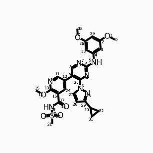 COc1cc(Nc2ncc(-c3cnc(OC)c(C(=O)NS(C)(=O)=O)c3)c(-n3ccc(C4CC4)n3)n2)cc(OC)c1